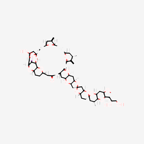 C=C1C[C@@H]2CC[C@]34CC(O)C(O3)[C@@H]3O[C@H]5CC[C@H](CC(=O)C[C@@H]6C[C@@H]7OC8C[C@]9(C[C@@H]%10O[C@@]%11(CC[C@@H]%10O9)C[C@H](C)[C@@H]9O[C@@H]%10[C@@H]([C@@H](O)CO)CO[C@@H]%10C[C@@H]9O%11)O[C@@H]8C[C@@H]7O[C@H]6C[C@H]6O[C@@H](CC[C@@H]1O2)C[C@@H](C)C6=C)O[C@@H]5[C@H](O4)[C@@H]3I